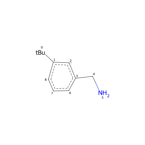 CC(C)(C)c1[c]c(CN)ccc1